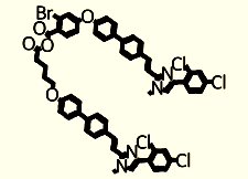 Cn1cc(-c2ccc(Cl)cc2Cl)nc1C=Cc1ccc(-c2ccc(OCCCCC(=O)OC(=O)c3ccc(Oc4ccc(-c5ccc(C=Cc6nc(-c7ccc(Cl)cc7Cl)cn6C)cc5)cc4)cc3Br)cc2)cc1